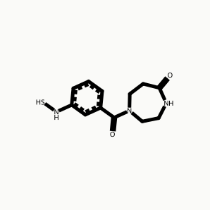 O=C1CCN(C(=O)c2cccc(NS)c2)CCN1